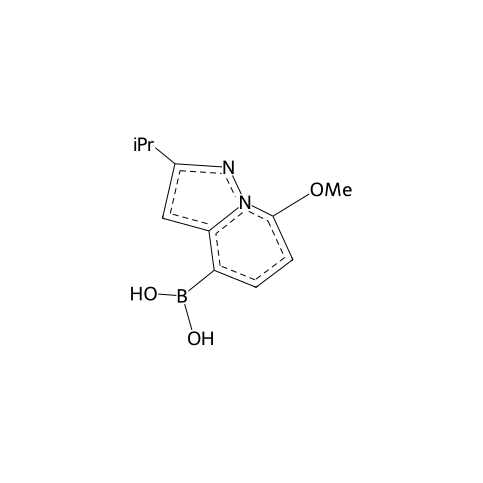 COc1ccc(B(O)O)c2cc(C(C)C)nn12